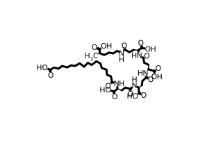 C[C@@H](CCCCNC(=O)CC[C@H](NC(=O)CC[C@H](NC(=O)CC[C@H](NC(=O)CC[C@H](NC(=O)CCCCCCCCCCCCCCCCC(=O)O)C(=O)O)C(=O)O)C(=O)O)C(=O)O)C(=O)O